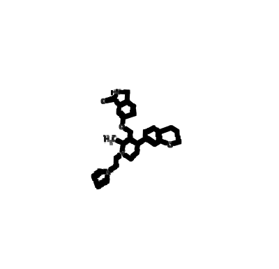 CC1C(COc2ccc3c(c2)C(=O)NC3)C(c2ccc3c(c2)OCCC3)CCN1CCn1cccc1